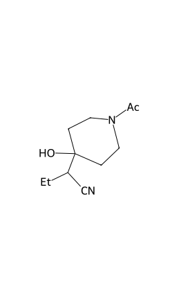 CCC(C#N)C1(O)CCN(C(C)=O)CC1